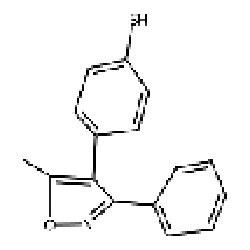 Cc1onc(-c2ccccc2)c1-c1ccc(S)cc1